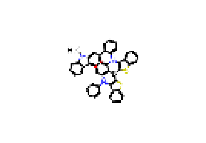 Cn1c2ccccc2c2ccc(-c3ccccc3N3c4cccc5c4B(c4sc6ccccc6c4N5c4ccccc4)c4sc5ccccc5c43)cc21